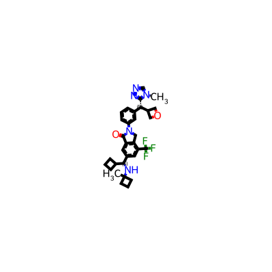 Cn1cnnc1[C@@H](c1cccc(N2Cc3c(cc([C@@H](NC4(C)CCC4)C4CCC4)cc3C(F)(F)F)C2=O)c1)C1COC1